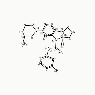 O=C(Nc1cncc(F)c1)N1c2nc(N3CCCC(C(F)(F)F)C3)ccc2N2CCC[C@H]21